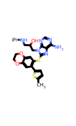 Cc1ccc(-c2cc3c(cc2Sc2nc4c(N)ncnc4n2CC(O)CNC(C)C)OCCO3)s1